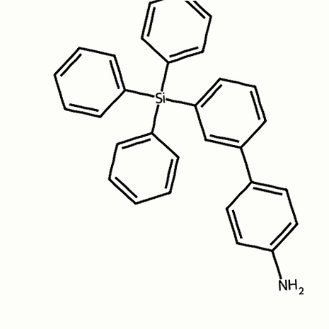 Nc1ccc(-c2cccc([Si](c3ccccc3)(c3ccccc3)c3ccccc3)c2)cc1